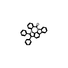 O=c1c2ccccc2n2c(-c3ccccc3)c(-c3ccccc3)c3ccc4c5ccccc5n1c4c32